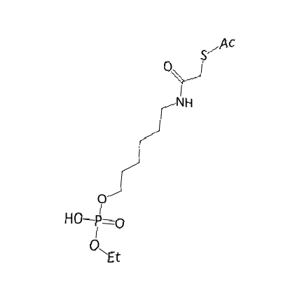 CCOP(=O)(O)OCCCCCCNC(=O)CSC(C)=O